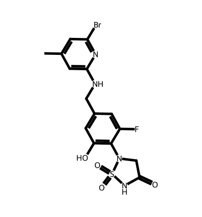 Cc1cc(Br)nc(NCc2cc(O)c(N3CC(=O)NS3(=O)=O)c(F)c2)c1